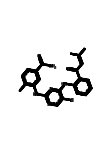 CC(C)=CC(=O)c1ccccc1Nc1nc(Nc2cc(C(N)=O)ccc2C)ncc1Cl